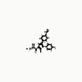 Cc1ccc(-c2[nH]c(C(=O)NN)cc2-c2ccc(C#N)cc2)cc1